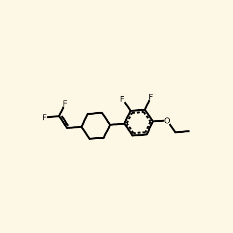 CCOc1ccc(C2CCC(C=C(F)F)CC2)c(F)c1F